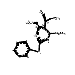 COc1nc(Oc2ccccc2)nc(OC)c1C(N)=O